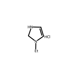 CCN1C=CNC1.Cl